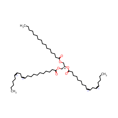 CCCC/C=C\C/C=C\CCCCCCCC(=O)O[C@@H](COC(=O)CCCCCCCCC/C=C\C/C=C\CCCCC)COC(=O)CCCCCCCCCCCCCCC